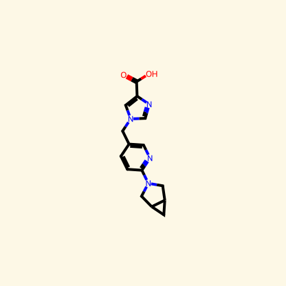 O=C(O)c1cn(Cc2ccc(N3CC4CC4C3)nc2)cn1